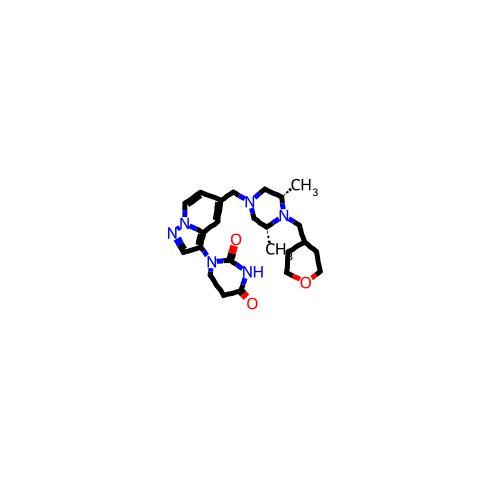 C[C@@H]1CN(Cc2ccn3ncc(N4CCC(=O)NC4=O)c3c2)C[C@H](C)N1CC1CCOCC1